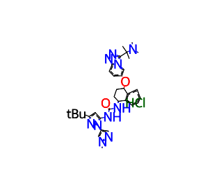 CN(C)C(C)(C)c1nnc2ccc(O[C@@H]3CC[C@H](NC(=O)Nc4cc(C(C)(C)C)nn4-c4cnn(C)c4)c4ccccc43)cn12.Cl